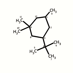 CC1CC(C(C)(C)C)CC(C)(C)C1